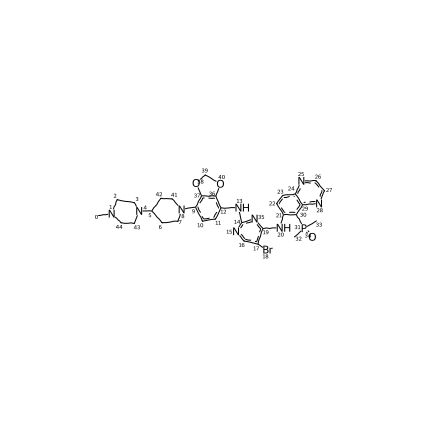 CN1CCN(C2CCN(c3ccc(Nc4ncc(Br)c(Nc5ccc6nccnc6c5P(C)(C)=O)n4)c4c3OCO4)CC2)CC1